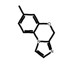 Cc1ccc2c(c1)OCc1nccn1-2